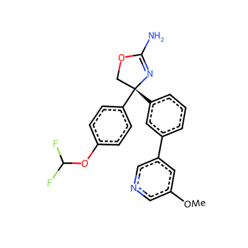 COc1cncc(-c2cccc([C@@]3(c4ccc(OC(F)F)cc4)COC(N)=N3)c2)c1